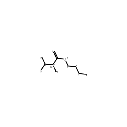 C=C(OCCCC)[C@@H](C)C(C)C